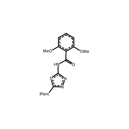 CCCC(C)c1nnc(NC(=O)c2c(OC)cccc2OC)s1